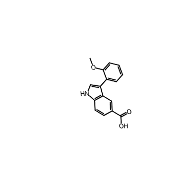 COc1ccccc1-c1c[nH]c2ccc(C(=O)O)cc12